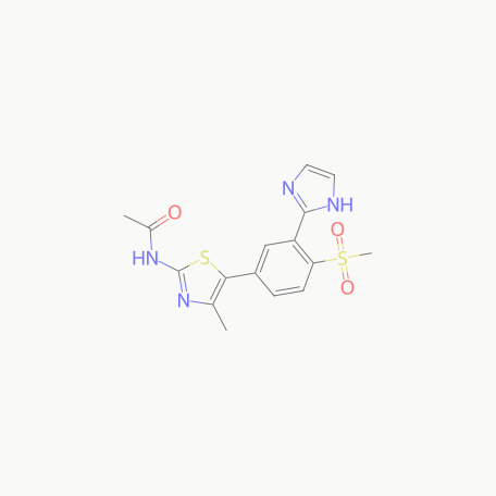 CC(=O)Nc1nc(C)c(-c2ccc(S(C)(=O)=O)c(-c3ncc[nH]3)c2)s1